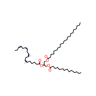 CC/C=C\C/C=C\C/C=C\C/C=C\CCCCC(=O)O[C@H](COC(=O)CCCCCCCCCCCCC)COC(=O)CCCCCCCCCCCCCCCCCCCC